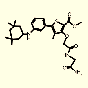 COC(=O)c1sc(-c2cccc(NC3CC(C)(C)CC(C)(C)C3)c2)c(C)c1OCC(=O)NCC(N)=O